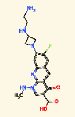 CNn1cc(C(=O)O)c(=O)c2cc3cc(F)c(N4CC(NCCN)C4)cc3nc21